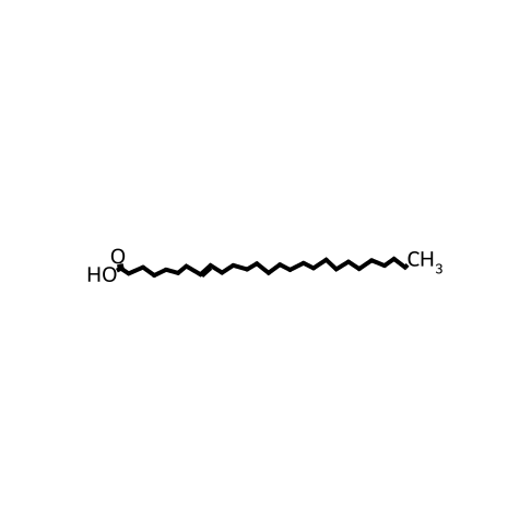 CCCCCCCCCCCCCCCCCCC=CCCCCCCC(=O)O